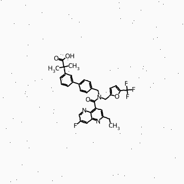 CCc1cc(C(=O)N(Cc2ccc(-c3cccc(C(C)(C)C(=O)O)c3)cc2)Cc2ccc(C(F)(F)F)o2)c2ncc(F)cc2n1